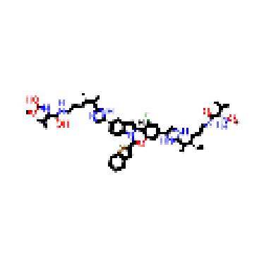 CC[C@@H](CCCNC(=O)[C@@H](NOC)C(C)C)C(C)C1NCC([C@@H]2C=C(F)[C@@H]3C4=CC5CC([C@@H]6CN=C(C(C)[C@@H](C)CCCN[C@H](O)[C@@H](N[C@H](O)OC)C(C)C)N6)=CC=C5N4C(c4cc5c(s4)CCCC5)OC3C2)N1